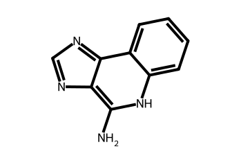 Nc1[nH]c2ccccc2c2ncnc1-2